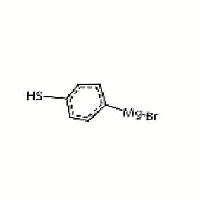 Sc1cc[c]([Mg][Br])cc1